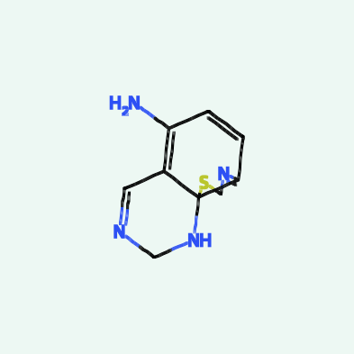 NC1=C2C=NCNC23SCN=C3C=C1